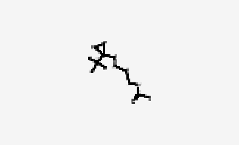 CC(=O)OCCCCC1(C(C)(C)C)CC1